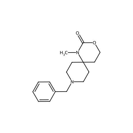 CN1C(=O)OCCC12CCN(Cc1ccccc1)CC2